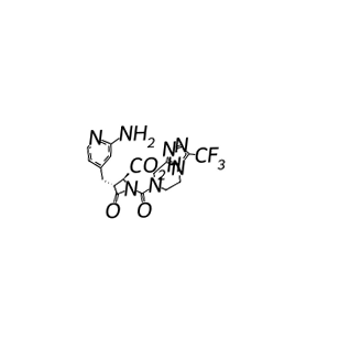 Nc1cc(C[C@H]2C(=O)N(C(=O)N3CCn4c(nnc4C(F)(F)F)C3)[C@@H]2C(=O)O)ccn1